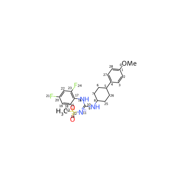 COc1ccc(C2CCC(N/C(=N/S(C)(=O)=O)Nc3ccc(F)cc3F)CC2)cc1